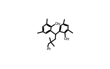 Cc1cc(C)c(O)c(C(CC(C)(C)CC(C)C)c2cc(C)cc(C)c2O)c1